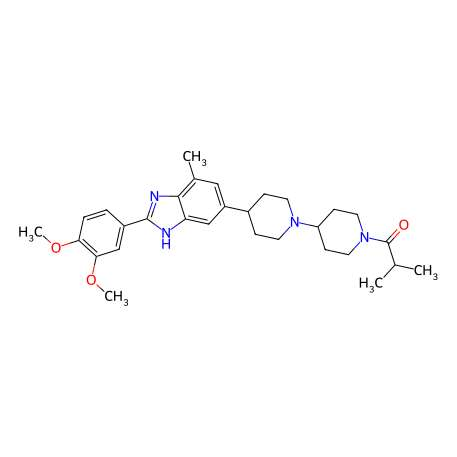 COc1ccc(-c2nc3c(C)cc(C4CCN(C5CCN(C(=O)C(C)C)CC5)CC4)cc3[nH]2)cc1OC